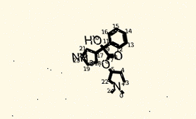 C[N+]1(C)CCC(OC(=O)C(O)(c2ccccc2)C2CCCC2)C1.N